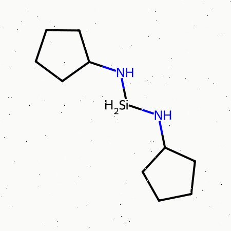 C1CCC(N[SiH2]NC2CCCC2)C1